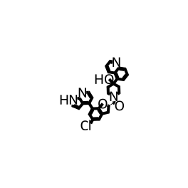 O=C([C@@H]1Cc2cc(Cl)cc(-c3ccnc4[nH]ccc34)c2O1)N1CCC(O)(c2cccc3ncccc23)CC1